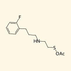 CC(=O)OSCCNCCCc1ccccc1F